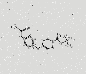 CC(C)(C)SC(=S)N1CC=C(C[n+]2ccc(CC(N)=O)cc2)CC1